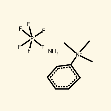 C[N+](C)(C)c1ccccc1.F[P-](F)(F)(F)(F)F.N